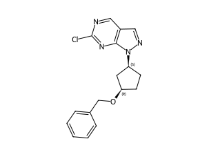 Clc1ncc2cnn([C@H]3CC[C@@H](OCc4ccccc4)C3)c2n1